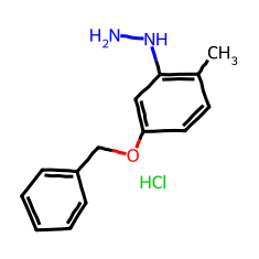 Cc1ccc(OCc2ccccc2)cc1NN.Cl